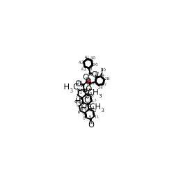 C[C@H]1C[C@H]2[C@@H]3CCC4=CC(=O)C=C[C@]4(C)[C@@]3(Cl)CC[C@]2(C)[C@]1(OC(=O)c1cccc(I)c1)C(=O)COC(=O)c1ccccc1